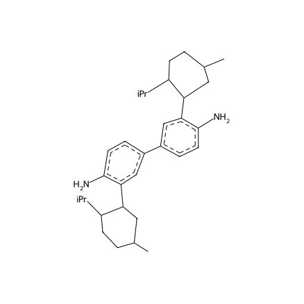 CC1CCC(C(C)C)C(c2cc(-c3ccc(N)c(C4CC(C)CCC4C(C)C)c3)ccc2N)C1